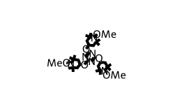 CON1C(C)(C)CC(Oc2nc(OC3CC(C)(C)N(OC)C(C)(C)C3)nc(OC3CC(C)(C)N(OC)C(C)(C)C3)n2)CC1(C)C